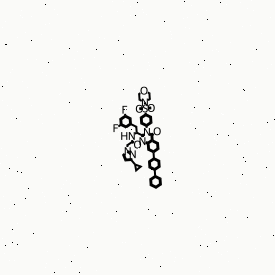 O=C(Cn1ccc(C2CC2)n1)NC(Cc1cc(F)cc(F)c1)c1nc2cc(-c3ccc(-c4ccccc4)cc3)ccc2c(=O)n1-c1ccc(S(=O)(=O)N2CCOCC2)cc1